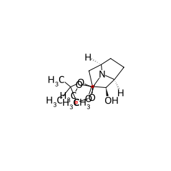 COC1(OC)C[C@H]2CC[C@@H]([C@H]1O)N2C(=O)OC(C)(C)C